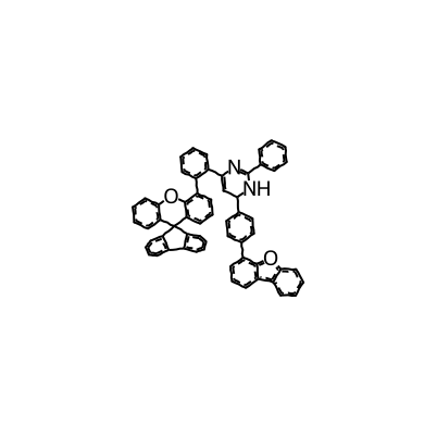 C1=C(c2ccccc2-c2cccc3c2Oc2ccccc2C32c3ccccc3-c3ccccc32)N=C(c2ccccc2)NC1c1ccc(-c2cccc3c2oc2ccccc23)cc1